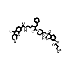 CN(C)CCC(=O)Nc1ccc2c(=O)n(CC3(O)CCN(C(=O)C(CCCNC(=O)c4ccc5c(Cl)c6c(nc5c4)CN(C)CC6)Cc4ccccc4)CC3)cnc2c1